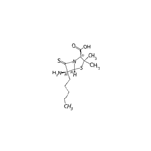 CCCCC[C@]1(N)C(=S)N2[C@@H](C(=O)O)C(C)(C)S[C@@H]21